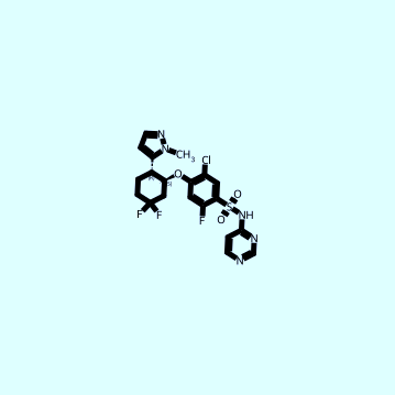 Cn1nccc1[C@H]1CCC(F)(F)C[C@@H]1Oc1cc(F)c(S(=O)(=O)Nc2ccncn2)cc1Cl